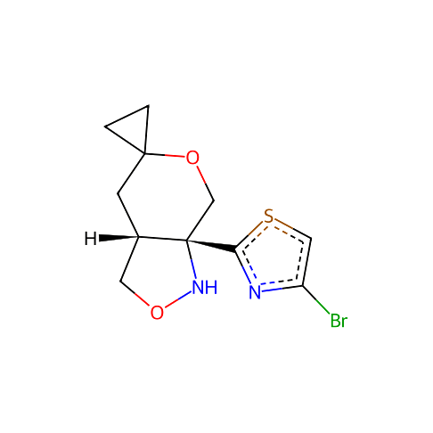 Brc1csc([C@]23COC4(CC4)C[C@H]2CON3)n1